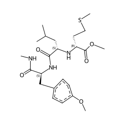 CNC(=O)[C@H](Cc1ccc(OC)cc1)NC(=O)[C@H](CC(C)C)N[C@H](CCSC)C(=O)OC